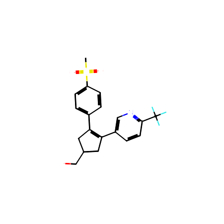 CS(=O)(=O)c1ccc(C2=C(c3ccc(C(F)(F)F)nc3)CC(CO)C2)cc1